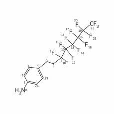 Nc1ccc(CCC(F)(F)C(F)(F)C(F)(F)C(F)(F)C(F)(F)C(F)(F)F)cc1